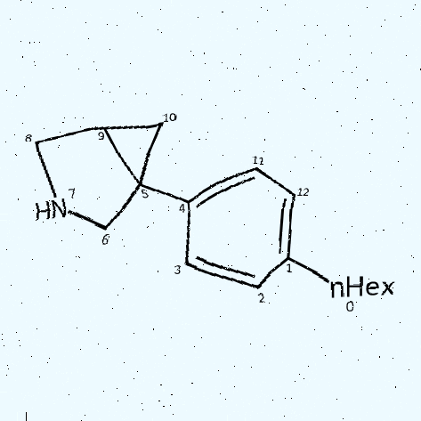 CCCCCCc1ccc(C23CNCC2C3)cc1